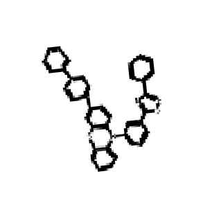 c1ccc(-c2ccc(-c3ccc4c(c3)Sc3ccccc3N4c3cccc(-c4nc(-c5ccccc5)ns4)c3)cc2)cc1